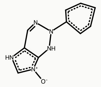 [O-][n+]1c[nH]c2c1NN(c1ccccc1)N=C2